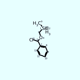 C[SiH](C)COC(Cl)c1ccccc1